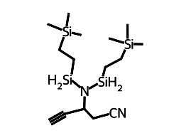 C#CC(CC#N)N([SiH2]CC[Si](C)(C)C)[SiH2]CC[Si](C)(C)C